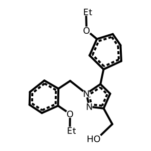 CCOc1cccc(-c2cc(CO)nn2Cc2ccccc2OCC)c1